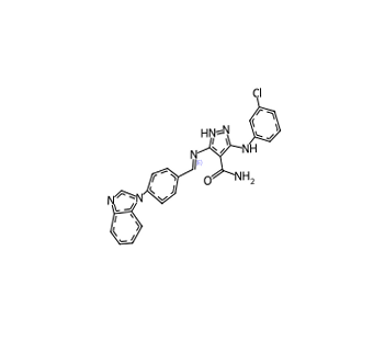 NC(=O)c1c(Nc2cccc(Cl)c2)n[nH]c1/N=C/c1ccc(-n2cnc3ccccc32)cc1